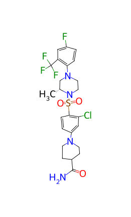 C[C@@H]1CN(c2ccc(F)cc2C(F)(F)F)CCN1S(=O)(=O)c1ccc(N2CCC(C(N)=O)CC2)cc1Cl